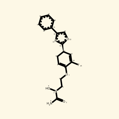 NC(=O)N(O)CCOC1=CC[C@@H](c2nc(-c3ccccc3)co2)C=C1F